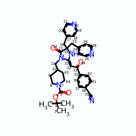 CC(C)(C)OC(=O)N1CCC(CN2C(=O)C(Cc3ccncc3)(Cc3ccncc3)NC2=CC(=O)c2ccc(C#N)cc2)CC1